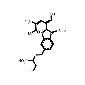 C/C=C(\C=C(\C)C(=O)CC)C1Nc2cc(CNC(CC(C)C)C(=O)O)ccc2N1CCCCC